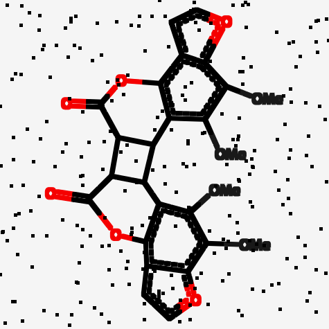 COc1c2c(c3ccoc3c1OC)OC(=O)C1C3C(=O)Oc4c(c(OC)c(OC)c5occc45)C3C21